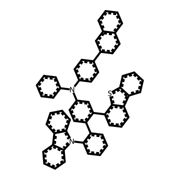 c1ccc(N(c2ccc(-c3ccc4ccccc4c3)cc2)c2ccc(-c3ccccc3-n3c4ccccc4c4ccccc43)c(-c3cccc4c3sc3ccccc34)c2)cc1